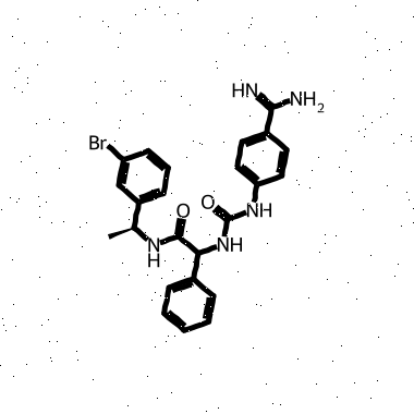 C[C@H](NC(=O)C(NC(=O)Nc1ccc(C(=N)N)cc1)c1ccccc1)c1cccc(Br)c1